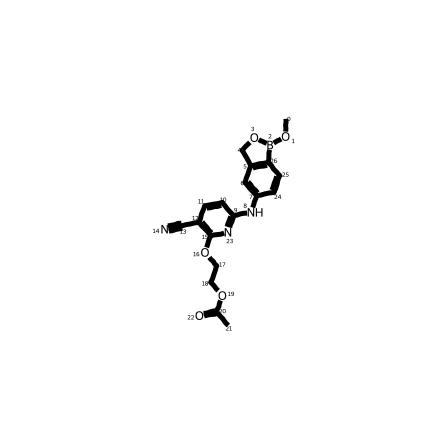 COB1OCc2cc(Nc3ccc(C#N)c(OCCOC(C)=O)n3)ccc21